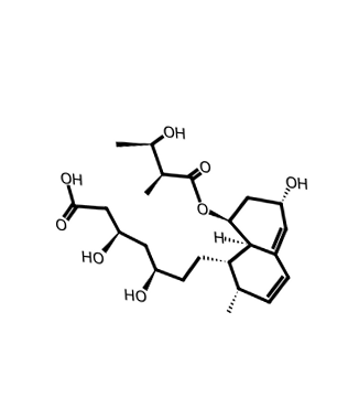 C[C@H](C(=O)O[C@H]1C[C@H](O)C=C2C=C[C@H](C)[C@H](CC[C@@H](O)C[C@@H](O)CC(=O)O)[C@H]21)[C@@H](C)O